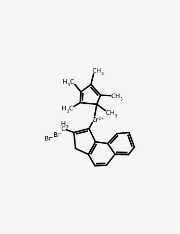 CC1=[C]([Zr+2][C]2(C)C(C)=C(C)C(C)=C2C)c2c(ccc3ccccc23)C1.[Br-].[Br-]